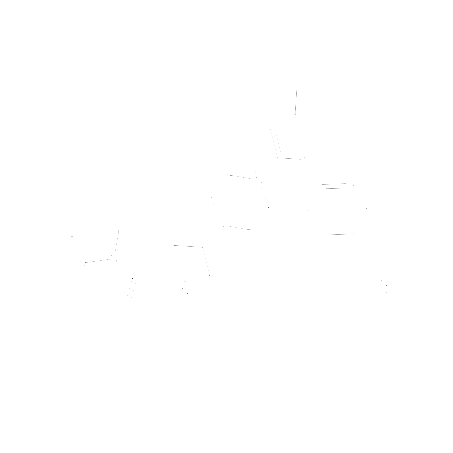 Cc1cc(N2CCN([C@@H]3CN[C@H](C(=O)N4CCSC4)C3)CC2)n(-c2ccc(C#N)cn2)n1.Cl.Cl